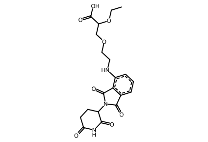 CCOC(COCCNc1cccc2c1C(=O)N(C1CCC(=O)NC1=O)C2=O)C(=O)O